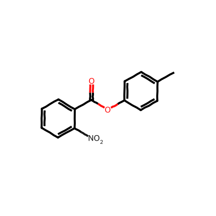 Cc1ccc(OC(=O)c2ccccc2[N+](=O)[O-])cc1